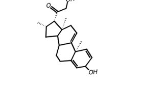 C[C@H]1CC2C3CCC4=CC(O)C=C[C@]4(C)C3=CC[C@]2(C)[C@H]1C(=O)CO